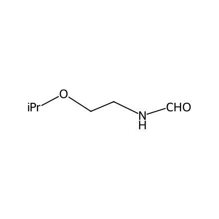 CC(C)OCCNC=O